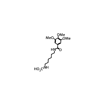 COc1cc(C(=O)NCCCCCCNC(=O)O)cc(OC)c1OC